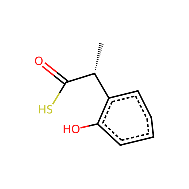 C[C@@H](C(=O)S)c1ccccc1O